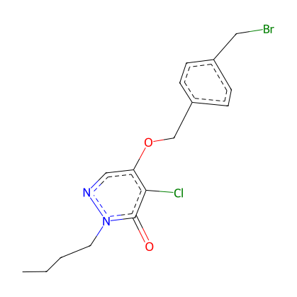 CCCCn1ncc(OCc2ccc(CBr)cc2)c(Cl)c1=O